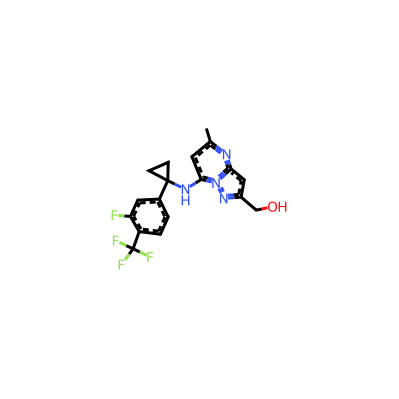 Cc1cc(NC2(c3ccc(C(F)(F)F)c(F)c3)CC2)n2nc(CO)cc2n1